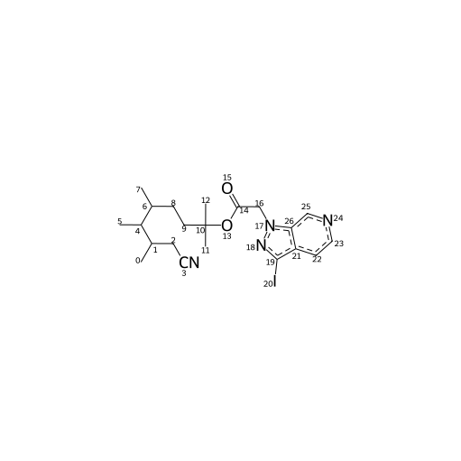 CC(CC#N)C(C)C(C)CCC(C)(C)OC(=O)Cn1nc(I)c2ccncc21